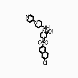 Cl.O=C1CN(S(=O)(=O)c2ccc3cc(Cl)ccc3c2)CCN1NC1CCN(c2ccncc2)CC1